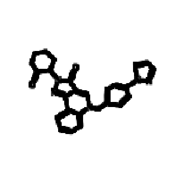 O=C1CCCCC1n1nc2c3ccccc3n(Cc3ccc(-n4cccn4)cc3)cc-2c1=O